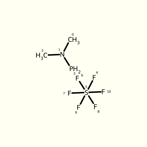 CN(C)P.FS(F)(F)(F)(F)F